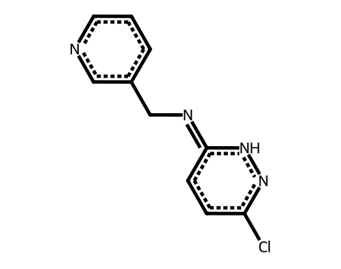 Clc1cc/c(=N\Cc2cccnc2)[nH]n1